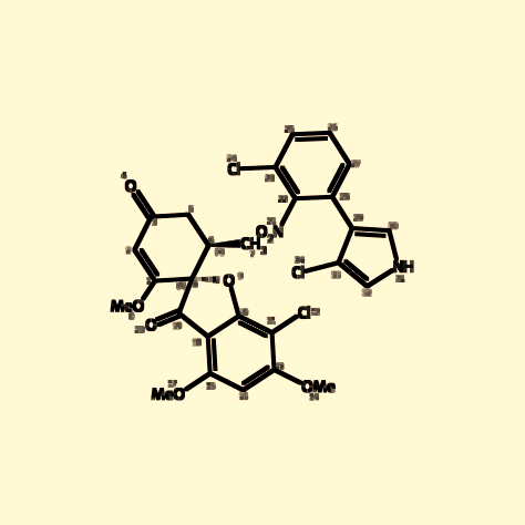 COC1=CC(=O)C[C@@H](C)[C@]12Oc1c(Cl)c(OC)cc(OC)c1C2=O.O=[N+]([O-])c1c(Cl)cccc1-c1c[nH]cc1Cl